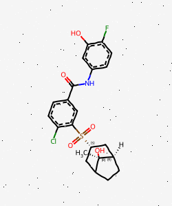 C[C@@]1(O)C2CC[C@@H]1C[C@@H](S(=O)(=O)c1cc(C(=O)Nc3ccc(F)c(O)c3)ccc1Cl)C2